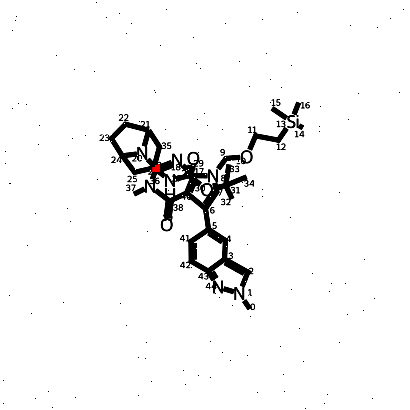 Cn1cc2cc(-c3cn(COCC[Si](C)(C)C)c4nc(N5C6CCC5CC(NC(=O)OC(C)(C)C)C6)n(C)c(=O)c34)ccc2n1